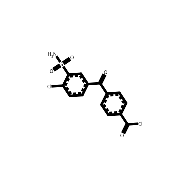 NS(=O)(=O)c1cc(C(=O)c2ccc(C(=O)Cl)cc2)ccc1Cl